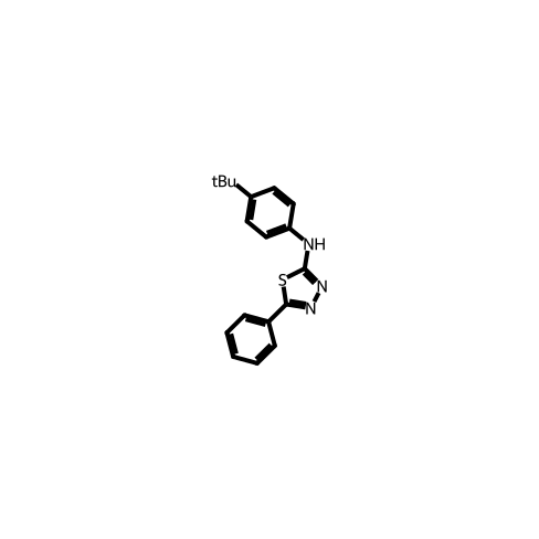 CC(C)(C)c1ccc(Nc2nnc(-c3ccccc3)s2)cc1